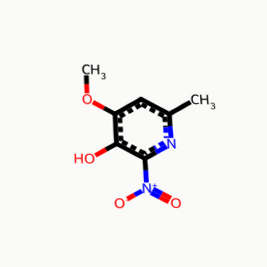 COc1cc(C)nc([N+](=O)[O-])c1O